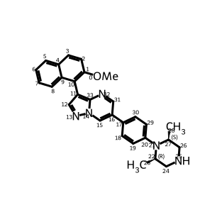 COc1ccc2ccccc2c1-c1cnn2cc(-c3ccc(N4[C@H](C)CNC[C@@H]4C)cc3)cnc12